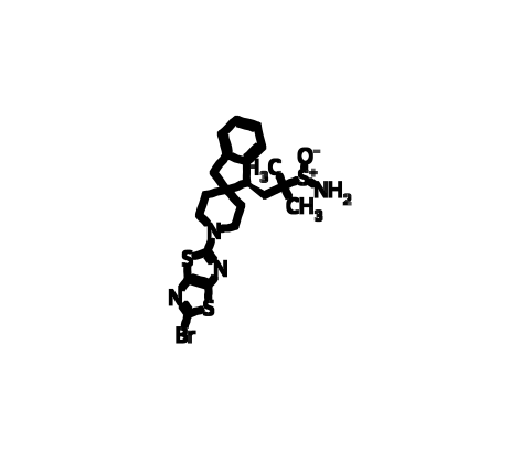 CC(C)(C[C@@H]1c2ccccc2CC12CCN(c1nc3sc(Br)nc3s1)CC2)[S+](N)[O-]